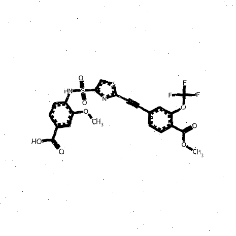 COC(=O)c1ccc(C#Cc2nc(S(=O)(=O)Nc3ccc(C(=O)O)cc3OC)cs2)cc1OC(F)(F)F